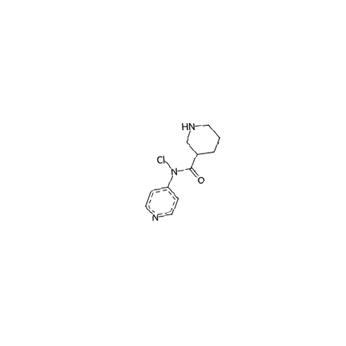 O=C(C1CCCNC1)N(Cl)c1ccncc1